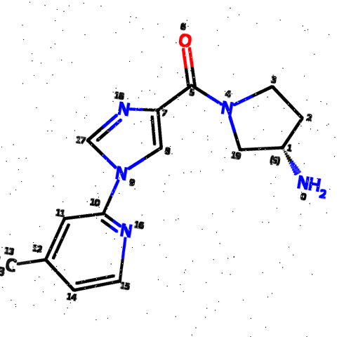 N[C@H]1CCN(C(=O)c2cn(-c3cc(C(F)(F)F)ccn3)cn2)C1